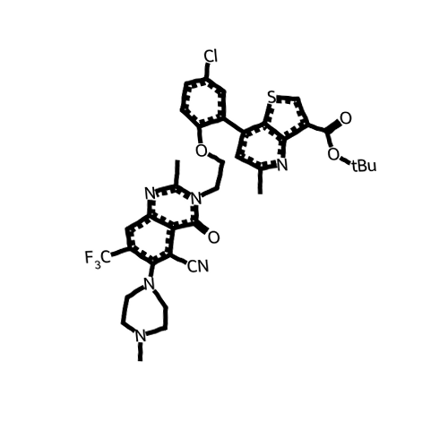 Cc1cc(-c2cc(Cl)ccc2OCCn2c(C)nc3cc(C(F)(F)F)c(N4CCN(C)CC4)c(C#N)c3c2=O)c2scc(C(=O)OC(C)(C)C)c2n1